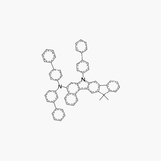 CC1(C)c2ccccc2-c2cc3c(cc21)c1c2ccccc2c(N(c2ccc(-c4ccccc4)cc2)c2cccc(-c4ccccc4)c2)cc1n3-c1ccc(-c2ccccc2)cc1